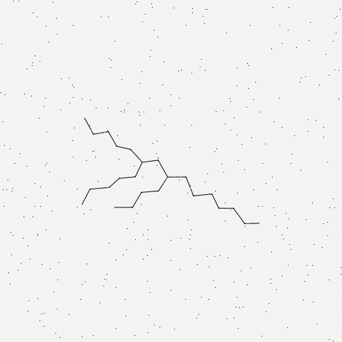 CCCCCCCC([CH]C(CCCCC)CCCCC)CCCC